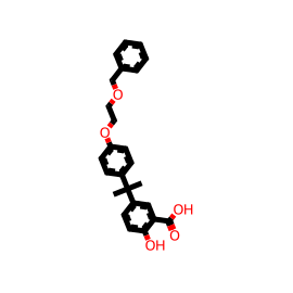 CC(C)(c1ccc(OCCOCc2ccccc2)cc1)c1ccc(O)c(C(=O)O)c1